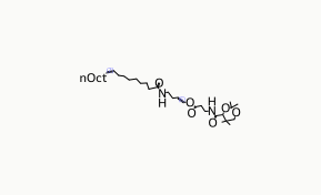 CCCCCCCC/C=C\CCCCCCCC(=O)NCC/C=C/OC(=O)CCNC(=O)C1OC(C)(C)OCC1(C)C